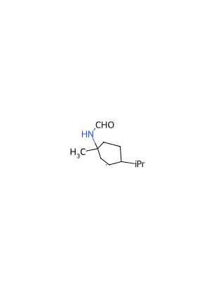 CC(C)C1[CH]CC(C)(NC=O)CC1